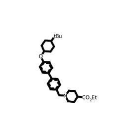 CCOC(=O)C1CCN(Cc2ccc(-c3ccc(OC4CCC(C(C)(C)C)CC4)cc3)cc2)CC1